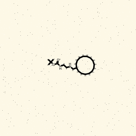 CC(C)(C)OC(=O)NCCNCC1CCCCCCCCCCCCCC1